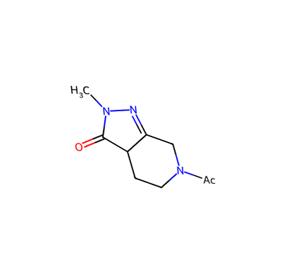 CC(=O)N1CCC2C(=O)N(C)N=C2C1